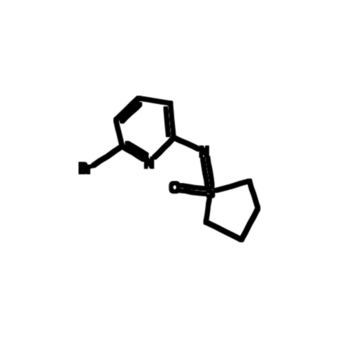 O=S1(=Nc2cccc(Br)n2)CCCC1